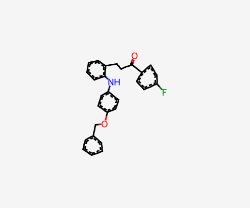 O=C(CCc1ccccc1Nc1ccc(OCc2ccccc2)cc1)c1ccc(F)cc1